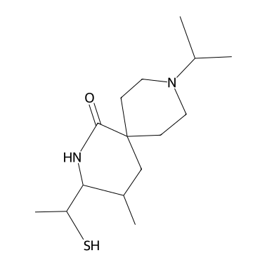 CC(S)C1NC(=O)C2(CCN(C(C)C)CC2)CC1C